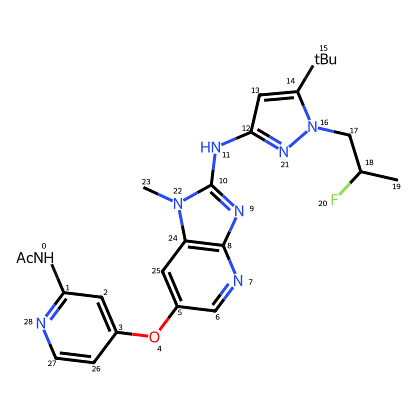 CC(=O)Nc1cc(Oc2cnc3nc(Nc4cc(C(C)(C)C)n(CC(C)F)n4)n(C)c3c2)ccn1